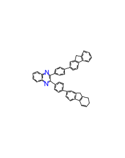 C1=CC2=C(CC1)Cc1cc(-c3ccc(-c4nc5ccccc5nc4-c4ccc(-c5ccc6c(c5)Cc5ccccc5-6)cc4)cc3)ccc12